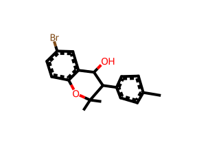 Cc1ccc(C2C(O)c3cc(Br)ccc3OC2(C)C)cc1